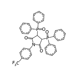 O=C1C(P(=O)(c2ccccc2)c2ccccc2)C(P(=O)(c2ccccc2)c2ccccc2)C(=O)N1c1ccc(C(F)(F)F)cc1